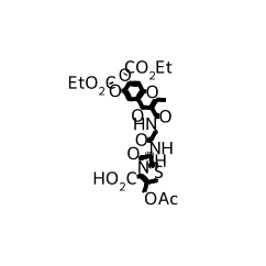 CCOC(=O)Oc1cc2oc(C)c(C(=O)NCC(=O)N[C@@H]3C(=O)N4C(C(=O)O)=C(COC(C)=O)CS[C@H]34)c(=O)c2cc1OC(=O)OCC